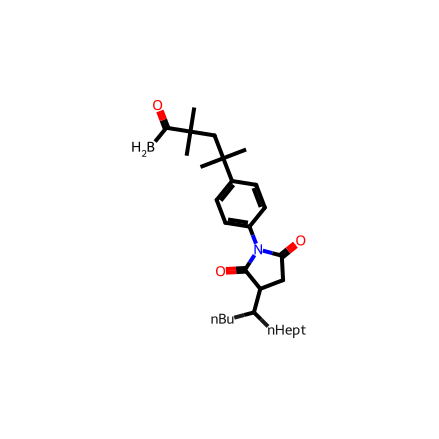 BC(=O)C(C)(C)CC(C)(C)c1ccc(N2C(=O)CC(C(CCCC)CCCCCCC)C2=O)cc1